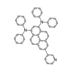 c1ccc(N(c2ccccc2)c2cc(N(c3ccccc3)c3ccccc3)c3ccc4cc(-c5cccnc5)cc5ccc2c3c54)cc1